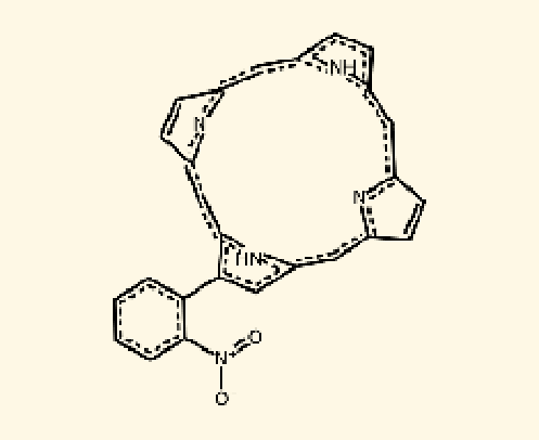 O=[N+]([O-])c1ccccc1-c1cc2cc3nc(cc4ccc(cc5nc(cc1[nH]2)C=C5)[nH]4)C=C3